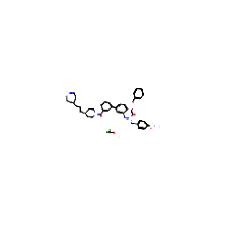 NS(=O)(=O)c1ccc(CN(Cc2cccc(-c3cccc(C(=O)N4CCC(CCCC5CCNCC5)CC4)c3)c2)C(=O)COCc2ccccc2)cc1.O=C(O)C(F)(F)F